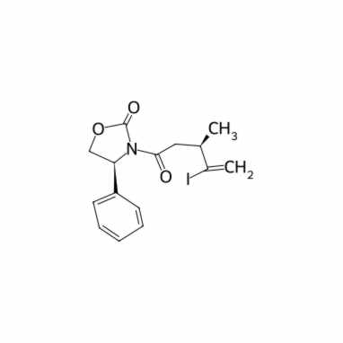 C=C(I)[C@H](C)CC(=O)N1C(=O)OC[C@@H]1c1ccccc1